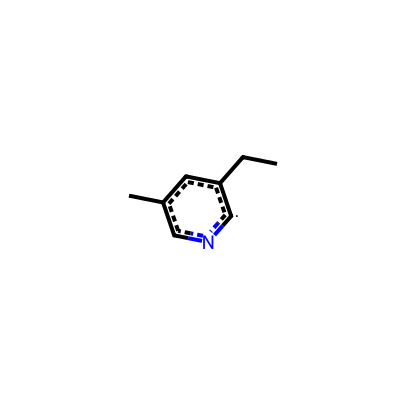 CCc1[c]ncc(C)c1